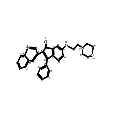 O=C1C(c2cnc3ccccc3c2)=C(c2ccccc2)c2ccc(OCCN3CCOCC3)cc21